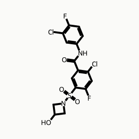 O=C(Nc1ccc(F)c(Cl)c1)c1cc(S(=O)(=O)N2CC(O)C2)c(F)cc1Cl